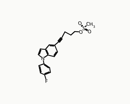 CS(=O)(=O)OCCCC#Cc1ccc2c(ccn2-c2ccc(F)cc2)c1